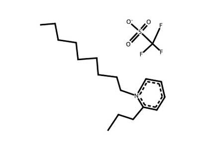 CCCCCCCCC[n+]1ccccc1CCC.O=S(=O)([O-])C(F)(F)F